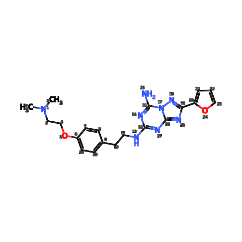 CN(C)CCOc1ccc(CCNc2nc(N)n3nc(-c4ccco4)nc3n2)cc1